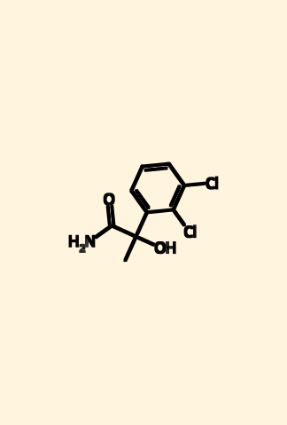 CC(O)(C(N)=O)c1cccc(Cl)c1Cl